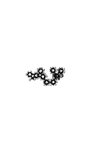 CC1(C)c2ccccc2-c2cc3c(cc21)-c1cc(-c2cccc(-c4cccc(-c5nc(-c6ccccc6)c6c(n5)oc5ccccc56)c4)c2)ccc1C31CCCCC1